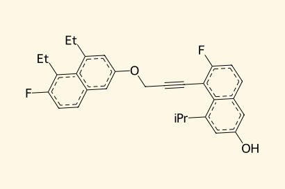 CCc1cc(OCC#Cc2c(F)ccc3cc(O)cc(C(C)C)c23)cc2ccc(F)c(CC)c12